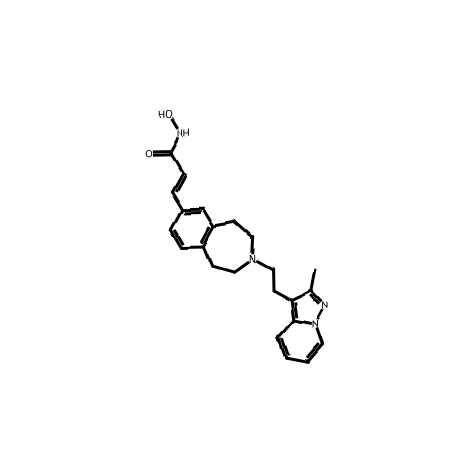 Cc1nn2ccccc2c1CCN1CCc2ccc(C=CC(=O)NO)cc2CC1